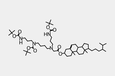 CC(C)C(C)CCCC1CCC2C3CC=C4CC(OC(=O)CN(CCCCN(CCCNC(=O)OC(C)(C)C)C(=O)OC(C)(C)C)CCCNC(=O)OC(C)(C)C)CCC4(C)C3CCC12C